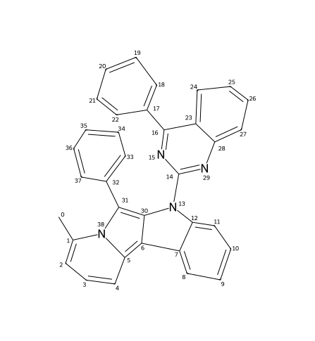 Cc1cccc2c3c4ccccc4n(-c4nc(-c5ccccc5)c5ccccc5n4)c3c(-c3ccccc3)n12